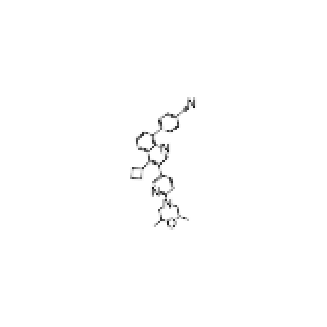 CC1CN(c2ccc(-c3cnc4c(-c5ccc(C#N)cc5)cccc4c3C3CCC3)cn2)CC(C)O1